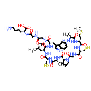 CSCC[C@H](NC(=O)[C@H](C)N)C(=O)N[C@@H](CS)C(=O)NCC(=O)N1CCC[C@H]1C(=O)N[C@@H](C)C(=O)N[C@@H](CS)C(=O)N[C@@H](CC(C)C)C(=O)N[C@@H](Cc1c[nH]c2ccccc12)C(=O)NCC(=O)NCC(=O)N[C@@H](CCCCN)C(=O)O